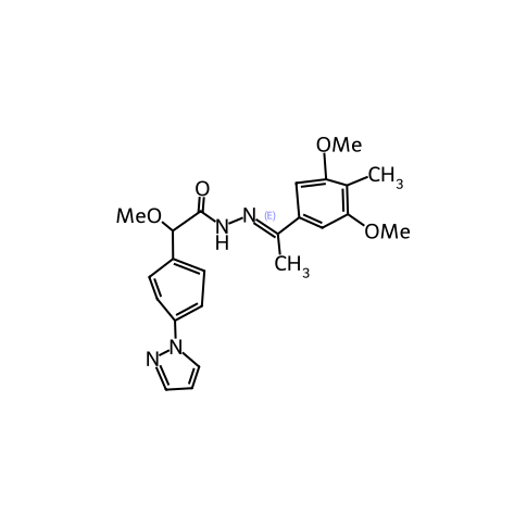 COc1cc(/C(C)=N/NC(=O)C(OC)c2ccc(-n3cccn3)cc2)cc(OC)c1C